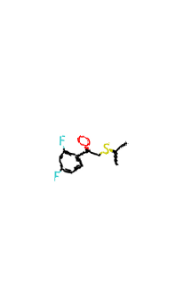 C=C(C)SCC(=O)c1ccc(F)cc1F